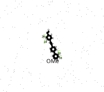 C=Cc1ccc(C#Cc2ccc(-c3ccc(OC)c(F)c3F)cc2)c(F)c1F